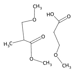 COCC(C)C(=O)OC.COCCC(=O)O